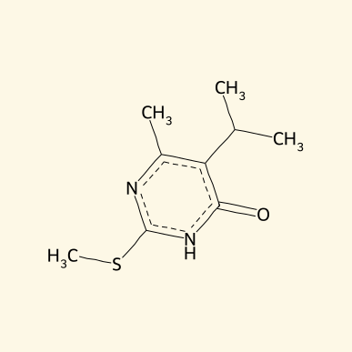 CSc1nc(C)c(C(C)C)c(=O)[nH]1